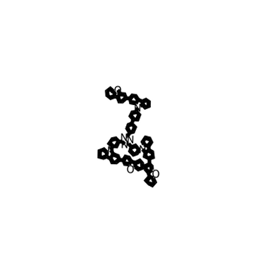 c1cc(-c2nc(-c3ccc(-c4ccc(-n5c6ccccc6c6ccc(-c7ccc8c(c7)oc7ccccc78)cc65)cc4)cc3)nc(-c3cccc(-n4c5ccccc5c5ccc(-c6ccc7c(c6)oc6ccccc67)cc54)c3)n2)cc(-n2c3ccccc3c3ccc(-c4ccc5c(c4)oc4ccccc45)cc32)c1